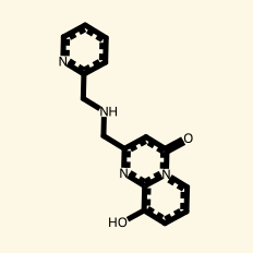 O=c1cc(CNCc2ccccn2)nc2c(O)cccn12